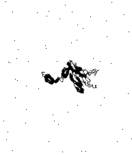 Cc1nc(C)c(C(OC(C)(C)C)C(=O)OC(C)C)c(N2CCC3(CCCO3)CC2)c1-c1ccc(OCCc2ccc(F)cc2)cc1